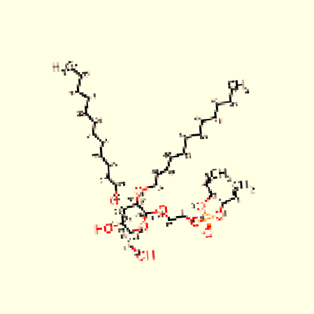 C=CCOP(=O)(OCC=C)OCCO[C@H]1O[C@H](CO)[C@@H](O)[C@H](OCCCCCCCCCCCC)[C@H]1OCCCCCCCCCCCC